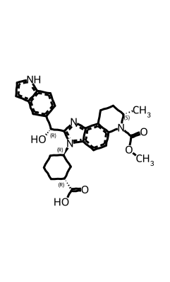 COC(=O)N1c2ccc3c(nc([C@H](O)c4ccc5[nH]ccc5c4)n3[C@@H]3CCC[C@@H](C(=O)O)C3)c2CC[C@@H]1C